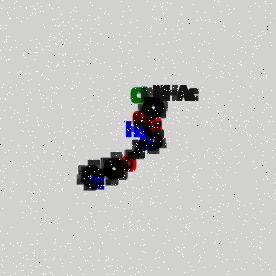 CC(=O)Nc1ccc(S(=O)(=O)N[C@@H]2CCCN2CCCOc2ccc(-c3ccccn3)cc2)cc1Cl